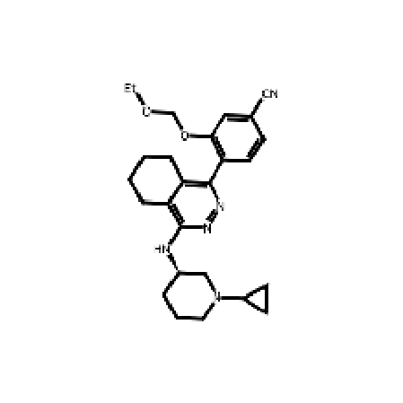 CCOCOc1cc(C#N)ccc1-c1nnc(N[C@@H]2CCCN(C3CC3)C2)c2c1CCCC2